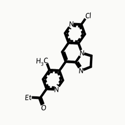 CCC(=O)c1cc(C)c(C2=Cc3cnc(Cl)cc3N3CCN=C23)cn1